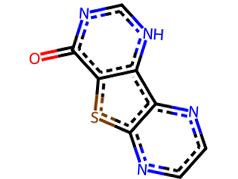 O=c1nc[nH]c2c1sc1nccnc12